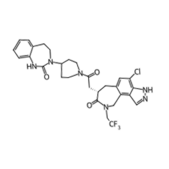 O=C(C[C@@H]1Cc2cc(Cl)c3[nH]ncc3c2CN(CC(F)(F)F)C1=O)N1CCC(N2CCc3ccccc3NC2=O)CC1